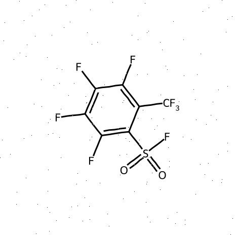 O=S(=O)(F)c1c(F)c(F)c(F)c(F)c1C(F)(F)F